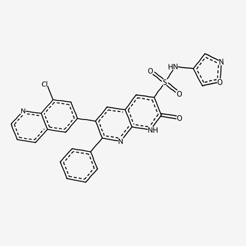 O=c1[nH]c2nc(-c3ccccc3)c(-c3cc(Cl)c4ncccc4c3)cc2cc1S(=O)(=O)Nc1cnoc1